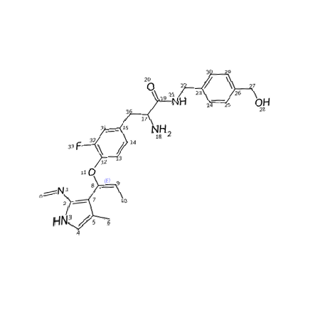 C=Nc1[nH]cc(C)c1/C(=C\C)Oc1ccc(CC(N)C(=O)NCc2ccc(CO)cc2)cc1F